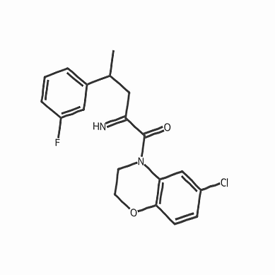 CC(CC(=N)C(=O)N1CCOc2ccc(Cl)cc21)c1cccc(F)c1